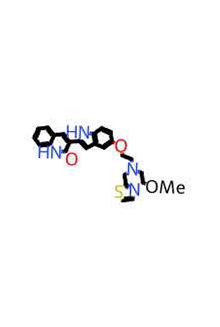 COCCN(CCOc1ccc2[nH]c(-c3cc4ccccc4[nH]c3=O)cc2c1)Cc1nccs1